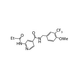 CCC(=O)Nc1cc(C(=O)NCc2ccc(OC)c(C(F)(F)F)c2)ccn1